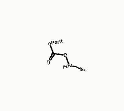 CCCCCC(=O)ONC(C)CC